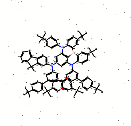 CC(C)(C)c1ccc(-c2cc(-c3ccc(C(C)(C)C)cc3)cc(N(c3cc4c5c(c3)N(c3cc(-c6ccc(C(C)(C)C)cc6)cc(-c6ccc(C(C)(C)C)cc6)c3)c3ccc(C(C)(C)C)cc3B5c3cc(C(C)(C)C)ccc3N4c3ccc(C(C)(C)C)cc3)c3ccc4c(c3)C(C)(C)c3ccccc3-4)c2)cc1